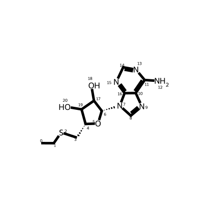 CCSC[C@H]1O[C@@H](n2cnc3c(N)ncnc32)C(O)C1O